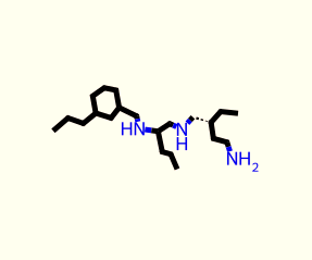 CCCC1CCCC(CNC(CCC)CNC[C@H](CC)CCN)C1